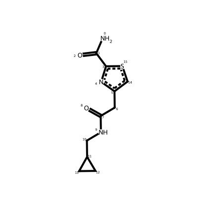 NC(=O)c1nc(CC(=O)NCC2CC2)cs1